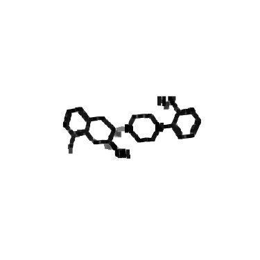 Nc1ccccc1N1CCN([C@H]2Cc3cccc(I)c3C[C@@H]2O)CC1